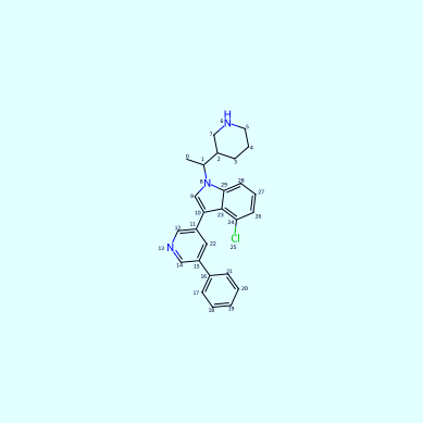 CC(C1CCCNC1)n1cc(-c2cncc(-c3ccccc3)c2)c2c(Cl)cccc21